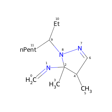 C=NC1(C)C(C)C=NN1C(CC)CCCCC